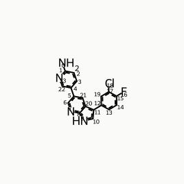 Nc1ccc(-c2cnc3[nH]cc(-c4ccc(F)c(Cl)c4)c3c2)cn1